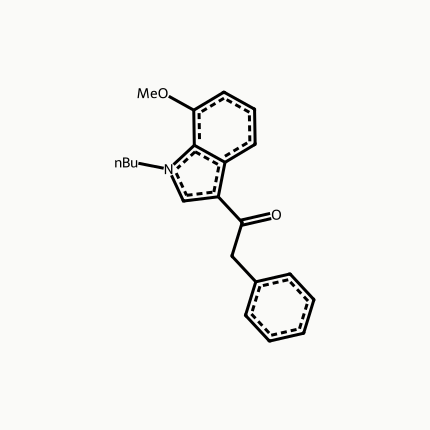 CCCCn1cc(C(=O)Cc2ccccc2)c2cccc(OC)c21